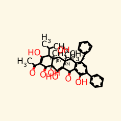 CC(=O)C1=C(O)C(C(C)C)[C@@]2(C)[C@H](O)[C@]3(C)C(=C(O)[C@@]2(O)C1=O)C(=O)c1c(O)c(-c2ccccc2)cc(-c2ccccc2)c1[C@H]3C